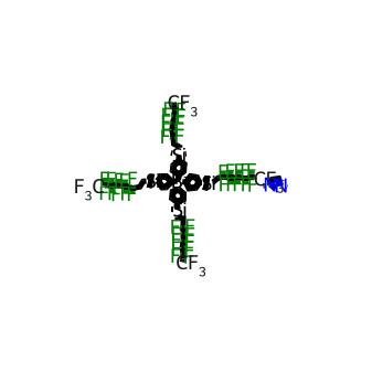 C[Si](C)(CCC(F)(F)C(F)(F)C(F)(F)C(F)(F)C(F)(F)C(F)(F)F)c1ccc([B-](c2ccc([Si](C)(C)CCC(F)(F)C(F)(F)C(F)(F)C(F)(F)C(F)(F)C(F)(F)F)cc2)(c2ccc([Si](C)(C)CCC(F)(F)C(F)(F)C(F)(F)C(F)(F)C(F)(F)C(F)(F)F)cc2)c2ccc([Si](C)(C)CCC(F)(F)C(F)(F)C(F)(F)C(F)(F)C(F)(F)C(F)(F)F)cc2)cc1.Cn1cc[n+](C)c1